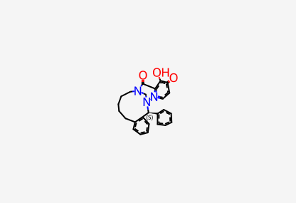 O=C1c2c(O)c(=O)ccn2N2CN1CCCCCc1ccccc1[C@@H]2c1ccccc1